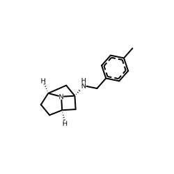 Cc1ccc(CN[C@@]23C[C@H]4CC[C@@H](C2)N43)cc1